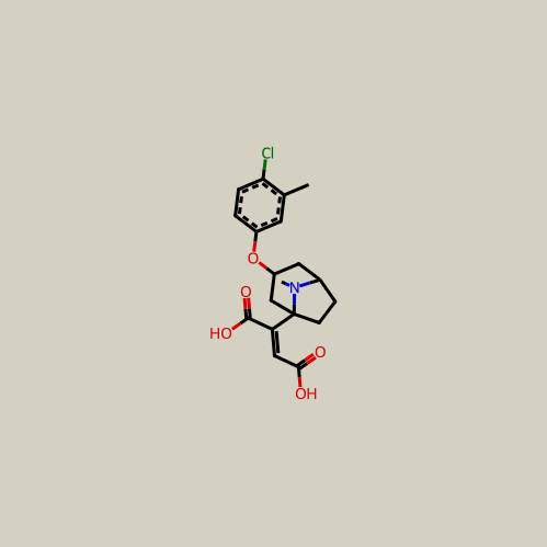 Cc1cc(OC2CC3CCC(/C(=C\C(=O)O)C(=O)O)(C2)N3C)ccc1Cl